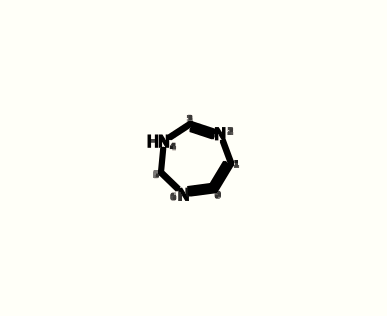 C1=CN=CNCN=1